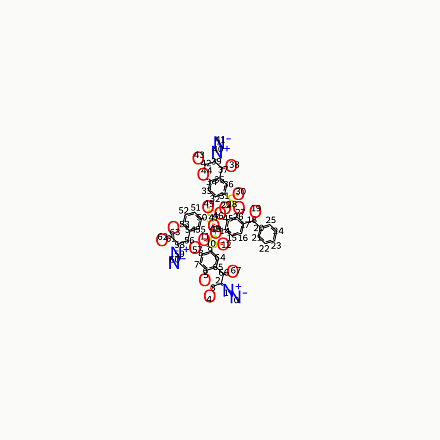 [N-]=[N+]=C1C(=O)Oc2ccc(S(=O)(=O)Oc3ccc(C(=O)c4ccccc4)c(OS(=O)(=O)c4ccc5c(c4)C(=O)C(=[N+]=[N-])C(=O)O5)c3OS(=O)(=O)c3ccc4c(c3)C(=O)C(=[N+]=[N-])C(=O)O4)cc2C1=O